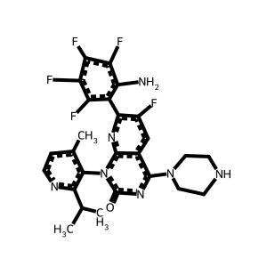 Cc1ccnc(C(C)C)c1-n1c(=O)nc(N2CCNCC2)c2cc(F)c(-c3c(N)c(F)c(F)c(F)c3F)nc21